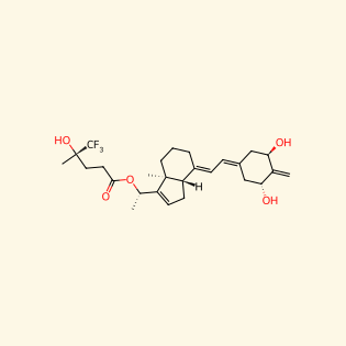 C=C1[C@H](O)CC(=C/C=C2\CCC[C@]3(C)C([C@H](C)OC(=O)CC[C@](C)(O)C(F)(F)F)=CC[C@@H]23)C[C@H]1O